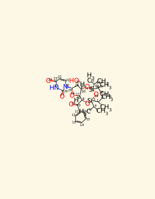 CC(C)[Si]1(C(C)C)OC(C(=O)c2ccccc2)[C@H]2O[C@@H](n3ccc(=O)[nH]c3=O)[C@H](O)[C@@H]2O[Si](C(C)C)(C(C)C)O1